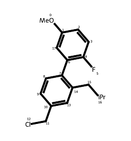 COc1ccc(F)c(-c2ccc(CCl)cc2CC(C)C)c1